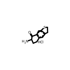 Cl.NC1CCc2cc3c(cc2C1=O)SCC3